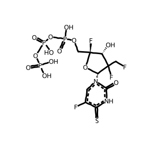 O=c1[nH]c(=S)c(F)cn1[C@@H]1O[C@](F)(COP(=O)(O)OP(=O)(O)OP(=O)(O)O)[C@H](O)C1(F)CF